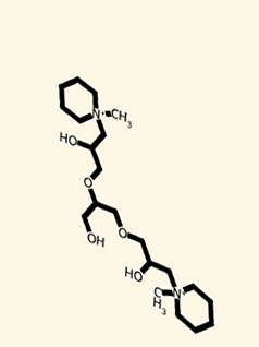 C[N+]1(CC(O)COCC(CO)OCC(O)C[N+]2(C)CCCCC2)CCCCC1